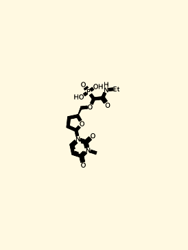 CCNC(=O)C(OC[C@@H]1CCC(n2ccc(=O)n(C)c2=O)O1)P(=O)(O)O